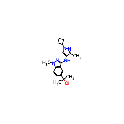 Cc1nn(C2CCC2)cc1Nc1nn(C)c2ccc(C(C)(C)O)cc12